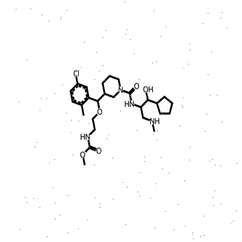 CNCC(NC(=O)N1CCCC(C(OCCNC(=O)OC)c2cc(Cl)ccc2C)C1)C(O)C1CCCC1